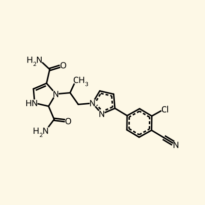 CC(Cn1ccc(-c2ccc(C#N)c(Cl)c2)n1)N1C(C(N)=O)=CNC1C(N)=O